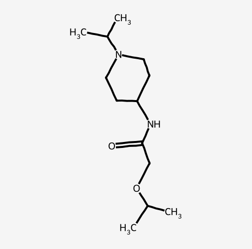 CC(C)OCC(=O)NC1CCN(C(C)C)CC1